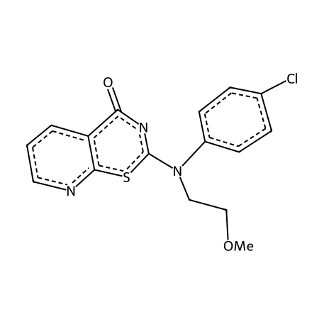 COCCN(c1ccc(Cl)cc1)c1nc(=O)c2cccnc2s1